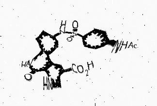 CC(=O)Nc1ccc(S(=O)(=O)Nc2ccc3[nH]c(=O)c4[nH]cc(C(=O)O)c4c3c2)cc1